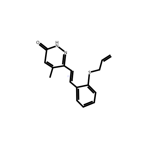 C=CCSc1ccccc1/C=C/c1n[nH]c(=O)cc1C